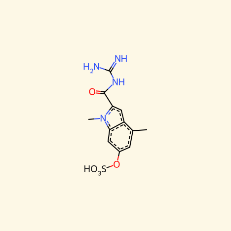 Cc1cc(OS(=O)(=O)O)cc2c1cc(C(=O)NC(=N)N)n2C